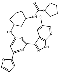 O=C(NC1CCCC(Nc2cc(-c3ccco3)nc(-c3n[nH]c4ncc(Cl)cc34)n2)C1)N1CCCC1